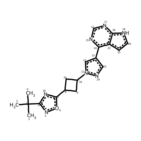 CC(C)(C)c1noc(C2C[C](n3cc(-c4ncnc5[nH]ccc45)cn3)C2)n1